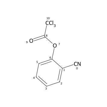 N#Cc1ccccc1OC(=O)C(Cl)(Cl)Cl